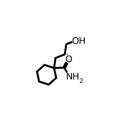 NC(=O)C1(C[CH]CO)CCCCC1